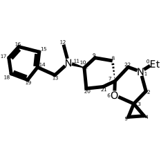 CCN1CC2(CC2)O[C@]2(CC[C@H](N(C)Cc3ccccc3)CC2)C1